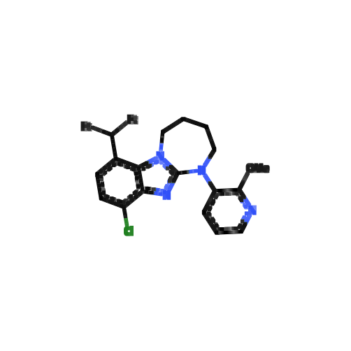 CCC(CC)c1ccc(Cl)c2nc3n(c12)CCCCN3c1cccnc1OC